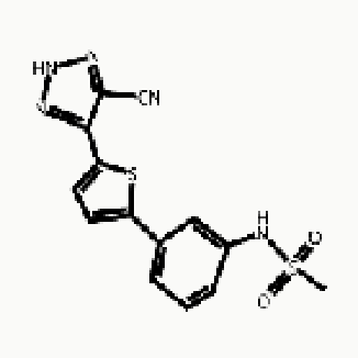 CS(=O)(=O)Nc1cccc(-c2ccc(-c3n[nH]nc3C#N)s2)c1